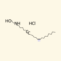 CCCCCCCC/C=C\CCCCCCCCCCCCNCCO.Cl